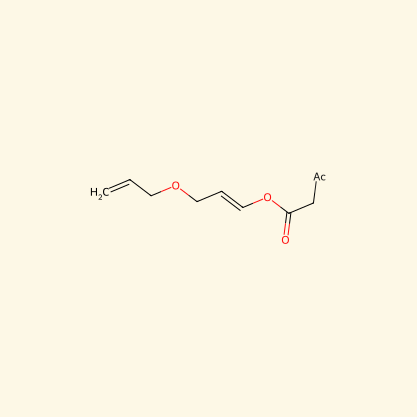 C=CCOCC=COC(=O)CC(C)=O